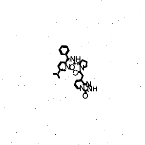 CC(C)c1ccc([C@@H](NC(=O)[C@@H]2CCCN2C(=O)Cc2cccn3c(=O)[nH]nc23)c2ccccc2)nc1